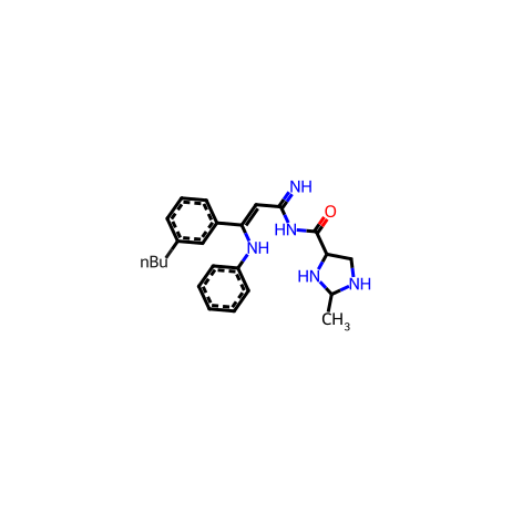 CCCCc1cccc(/C(=C/C(=N)NC(=O)C2CNC(C)N2)Nc2ccccc2)c1